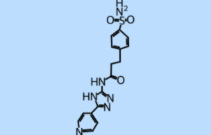 NS(=O)(=O)c1ccc(CCC(=O)Nc2nnc(-c3ccncc3)[nH]2)cc1